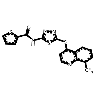 O=C(Nc1nnc(Sc2ccnc3c(C(F)(F)F)cccc23)s1)c1cccs1